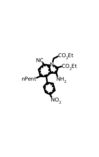 CCCCCc1cc(C#N)c2c(c(N)c(C(=O)OCC)n2CC(=O)OCC)c1-c1ccc([N+](=O)[O-])cc1